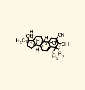 CC1(C)C2=CC[C@@H]3[C@H](CC[C@@]4(C)[C@H]3CC[C@@]4(C)O)[C@@]2(C)CC(C#N)=C1O